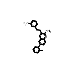 Cc1ccccc1-c1ccc2nc(N)c(CCc3cccc(C(F)(F)F)c3)cc2c1